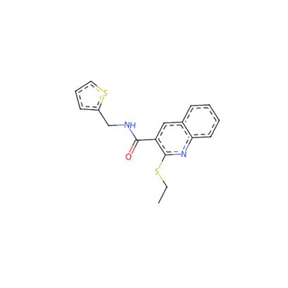 CCSc1nc2ccccc2cc1C(=O)NCc1cccs1